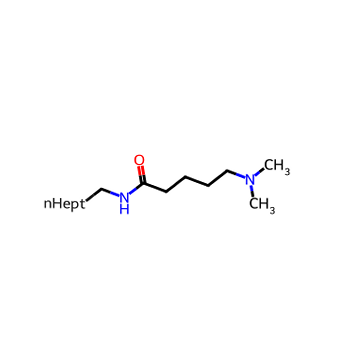 CCCCCCCCNC(=O)CCCCN(C)C